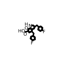 O=C(O)c1cc(Cc2ccc(F)cc2)c2cc(Cc3ccc(F)cc3)cnc2c1O